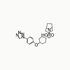 O=C(O)N1C2CCC1CC(O[C@H]1CC[C@H](Oc3ccc(-n4cnnn4)cc3)CC1)C2